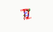 CC(CC#CCNCc1ccc(OCc2cc(-c3ccccc3)c(C(F)(F)F)s2)cc1)(C(=O)O)C(=O)O.CCCCCCc1ccc(-c2ccc(CNCC#CCC(CC)(C(=O)O)C(=O)O)cc2F)cc1